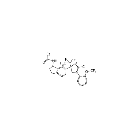 CCC(=O)NC1CCc2ccc(C3(C(F)(C(F)(F)F)C(F)(F)F)CN(Cl)N(c4ccccc4OC(F)(F)F)C3)cc21